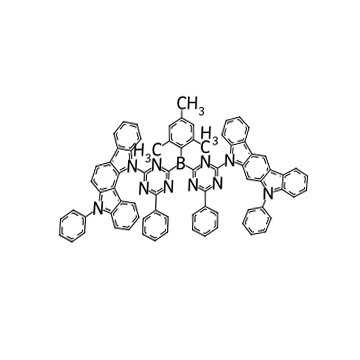 Cc1cc(C)c(B(c2nc(-c3ccccc3)nc(-n3c4ccccc4c4cc5c6ccccc6n(-c6ccccc6)c5cc43)n2)c2nc(-c3ccccc3)nc(-n3c4ccccc4c4ccc5c(c6ccccc6n5-c5ccccc5)c43)n2)c(C)c1